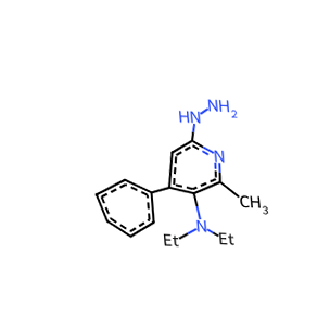 CCN(CC)c1c(-c2ccccc2)cc(NN)nc1C